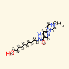 CN1CCN(c2ccc(C(=O)NCCCCCCCCCCO)cn2)CC1